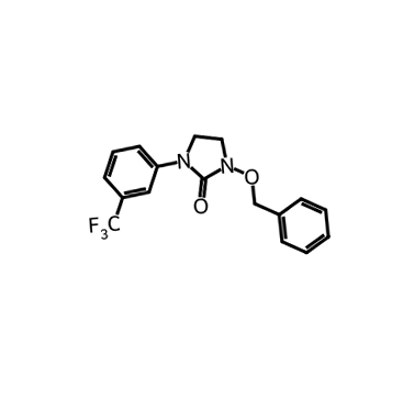 O=C1N(OCc2ccccc2)CCN1c1cccc(C(F)(F)F)c1